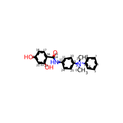 C[N+](C)(c1ccccc1)c1ccc(NC(=O)c2ccc(O)cc2O)cc1